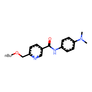 CCCCOCc1ccc(C(=O)Nc2ccc(N(C)C)cc2)cn1